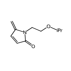 C=C1C=CC(=O)N1CCOC(C)C